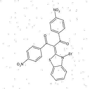 CCN1C(=C(C(=O)c2ccc([N+](=O)[O-])cc2)C(=O)c2ccc([N+](=O)[O-])cc2)Sc2ccccc21